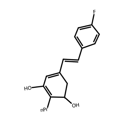 CCCC1=C(O)C=C(C=Cc2ccc(F)cc2)C[C]1O